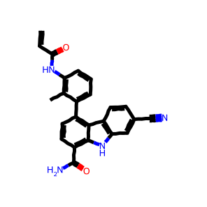 C=CC(=O)Nc1cccc(-c2ccc(C(N)=O)c3[nH]c4cc(C#N)ccc4c23)c1C